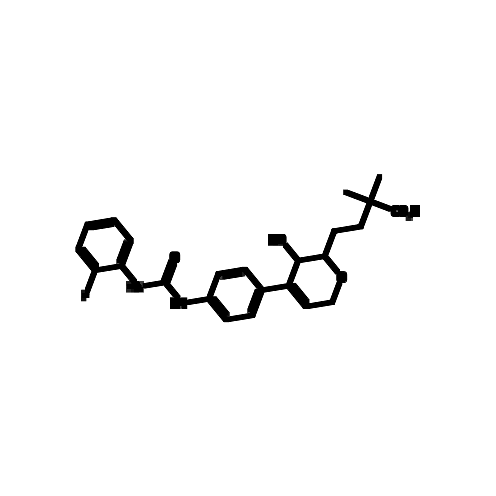 CC(C)(CCC1OCC=C(c2ccc(NC(=O)Nc3ccccc3F)cc2)C1O)C(=O)O